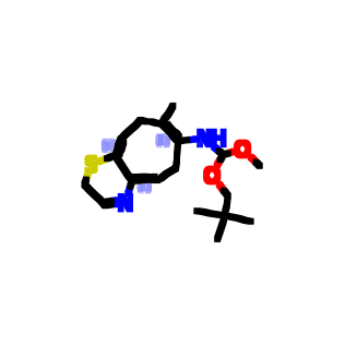 COC(N/C1=C(\C)C/C=C2/SCC=N/C2=C/C1)OCC(C)(C)C